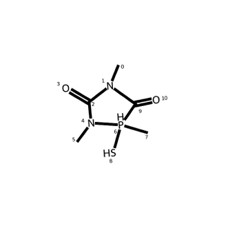 CN1C(=O)N(C)[PH](C)(S)C1=O